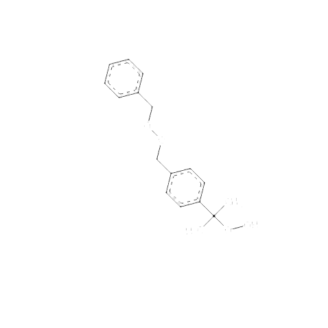 CC(C)(OO)c1ccc(COOCc2ccccc2)cc1